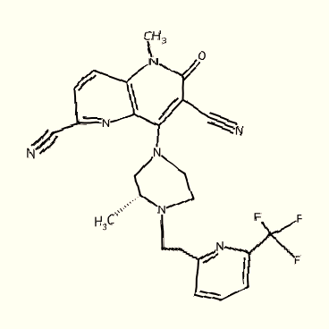 C[C@@H]1CN(c2c(C#N)c(=O)n(C)c3ccc(C#N)nc23)CCN1Cc1cccc(C(F)(F)F)n1